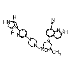 [2H]c1ccc2c(N3C[C@H](CN4CCN(c5ccc(N6C[C@H]7C[C@@H]6CN7)nc5)CC4)O[C@H](C)C3)ccc(C#N)c2n1